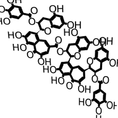 O=C(O[C@H]1Cc2c(O)cc(O)cc2O[C@H]1c1cc(O)c(O)c2c(=O)c(O)cc([C@H]3Oc4cc(O)cc(O)c4C[C@H]3OC(=O)c3cc(O)c(O)c(O)c3)cc12)c1cc(O)c(=O)c2c(O)c(O)cc([C@H]3Oc4cc(O)cc(O)c4C[C@H]3OC(=O)c3cc(O)c(O)c(O)c3)c2c1